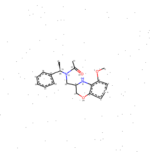 COc1cccc2c1NC(CN(C(C)=O)[C@H](C)c1ccccc1)CO2